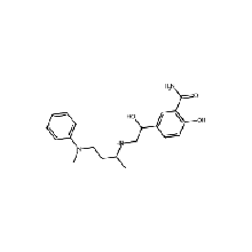 CC(CCN(C)c1ccccc1)NCC(O)c1ccc(O)c(C(N)=O)c1